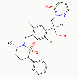 CC[C@@](CO)(Cn1ncccc1=O)c1cc(F)c(CN2[C@@H](C)CC[C@H](c3ccccc3)S2(=O)=O)cc1F